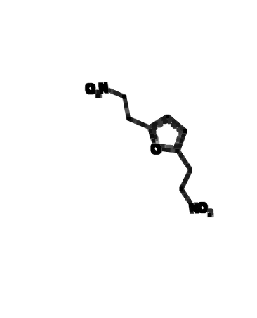 O=[N+]([O-])CCc1ccc(CC[N+](=O)[O-])o1